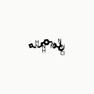 N#Cc1ncc(Cl)cc1-c1cnn(Cc2ccc3cc(CNCC4CCC4)[nH]c3c2)c1